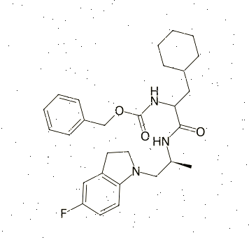 C[C@@H](CN1CCc2cc(F)ccc21)NC(=O)C(CC1CCCCC1)NC(=O)OCc1ccccc1